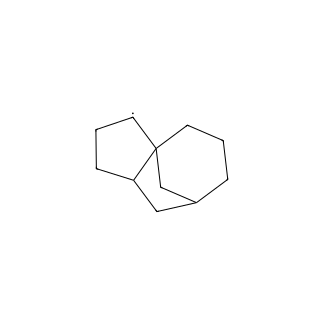 [CH]1CCC2CC3CCCC12C3